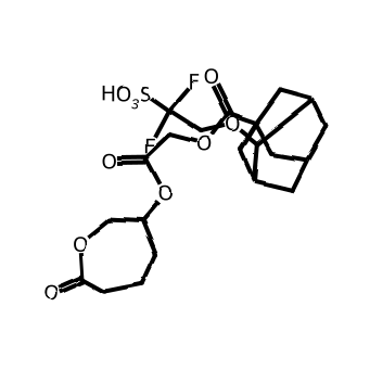 O=C1CCCC(OC(=O)COC(=O)C23CC4CC(C2)C(OCC(F)(F)S(=O)(=O)O)C(C4)C3)CO1